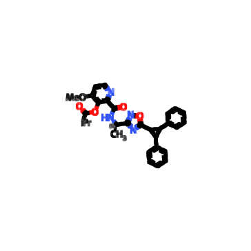 COc1ccnc(C(=O)N[C@@H](C)c2noc(C3C(c4ccccc4)C3c3ccccc3)n2)c1OC(=O)C(C)C